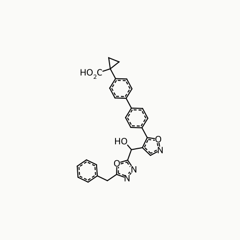 O=C(O)C1(c2ccc(-c3ccc(-c4oncc4C(O)c4nnc(Cc5ccccc5)o4)cc3)cc2)CC1